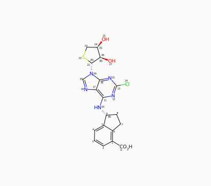 O=C(O)c1cccc2c1CC[C@H]2Nc1nc(Cl)nc2c1ncn2[C@@H]1SC[C@@H](O)[C@H]1O